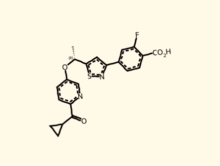 C[C@@H](Oc1ccc(C(=O)C2CC2)nc1)c1cc(-c2ccc(C(=O)O)c(F)c2)ns1